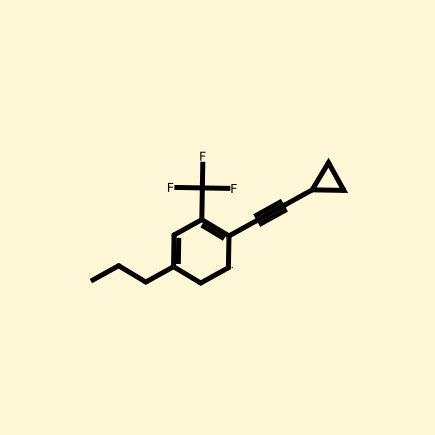 CCCC1=CC(C(F)(F)F)=C(C#CC2CC2)[CH]C1